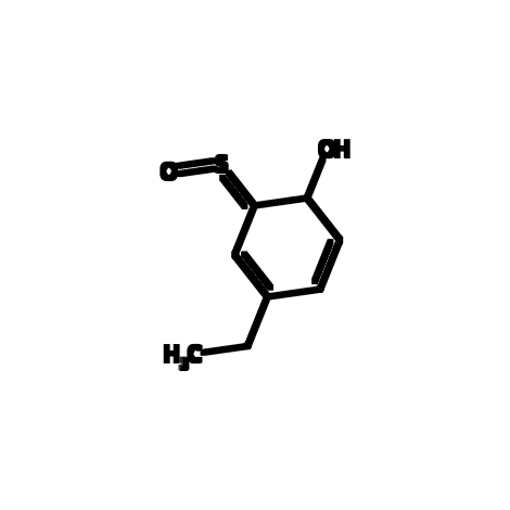 CCC1=CC(=S=O)C(O)C=C1